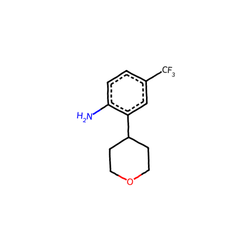 Nc1ccc(C(F)(F)F)cc1C1CCOCC1